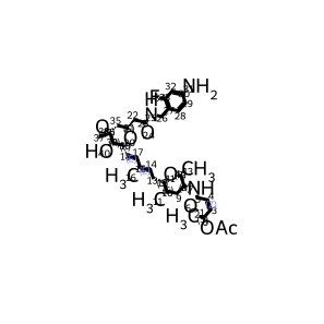 CC(=O)O[C@@H](C)/C=C\C(=O)N[C@@H]1C[C@H](C)[C@H](C/C=C(C)/C=C/[C@H]2O[C@H](CC(=O)NCc3ccc(N)cc3F)C[C@@]3(CO3)[C@@H]2O)O[C@@H]1C